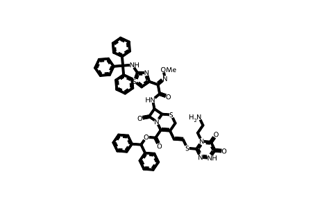 CO/N=C(/C(=O)NC1C(=O)N2C(C(=O)OC(c3ccccc3)c3ccccc3)=C(/C=C/Sc3n[nH]c(=O)c(=O)n3CCN)CSC12)c1csc(NC(c2ccccc2)(c2ccccc2)c2ccccc2)n1